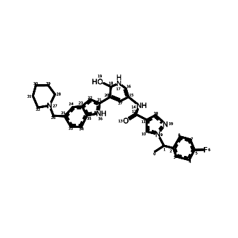 CC(c1ccc(F)cc1)n1cc(C(=O)NC2=CNC(O)C(c3cc4cc(CN5CCCCC5)ccc4[nH]3)=C2)cn1